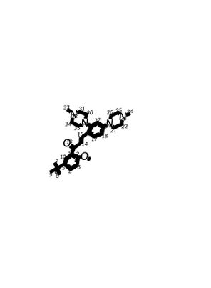 COc1ccc(C(C)(C)C)cc1C(=O)C=Cc1ccc(N2CCN(C)CC2)cc1N1CCN(C)CC1